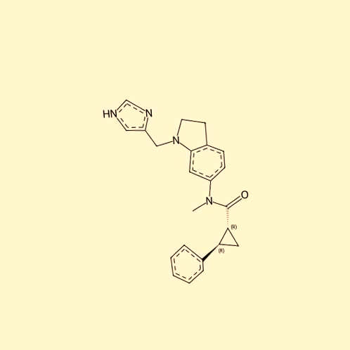 CN(C(=O)[C@@H]1C[C@H]1c1ccccc1)c1ccc2c(c1)N(Cc1c[nH]cn1)CC2